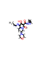 C\C=C/N=C1/C(O)=C(C(=O)NC23CC2C3)C(=O)N(CCN2CCOCC2)/C1=C\CC